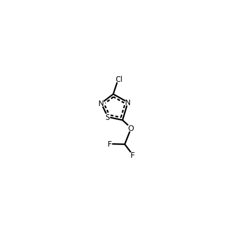 FC(F)Oc1nc(Cl)ns1